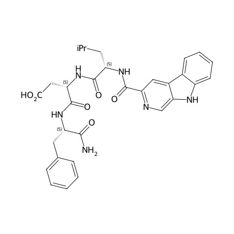 CC(C)C[C@H](NC(=O)c1cc2c(cn1)[nH]c1ccccc12)C(=O)N[C@@H](CC(=O)O)C(=O)N[C@@H](Cc1ccccc1)C(N)=O